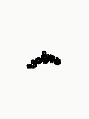 Cc1ccccc1-c1nc(-c2cnn3c(C4CCN(C(=O)OC(C)(C)C)CC4)cc(=O)[nH]c23)no1